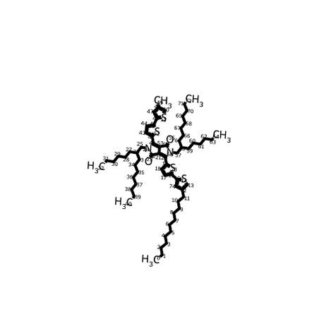 CCCCCCCCCCCCc1csc(-c2ccc(C3=C4C(=O)N(CC(CCCCCC)CCCCCCCC)C(c5ccc(-c6cc(C)cs6)s5)=C4C(=O)N3CC(CCCCCC)CCCCCCCC)s2)c1